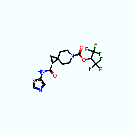 O=C(Nc1cncs1)[C@H]1CC12CCN(C(=O)OC(C(F)(F)F)C(F)(F)F)CC2